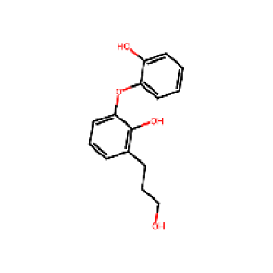 OCCCc1cccc(Oc2ccccc2O)c1O